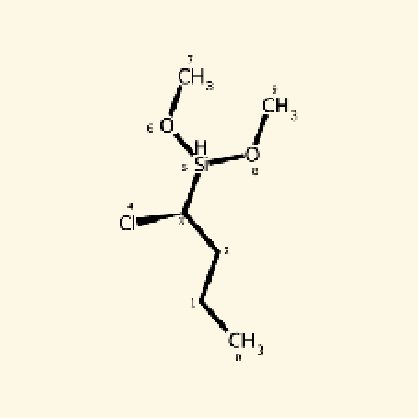 CCC[C@@H](Cl)[SiH](OC)OC